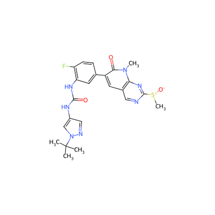 Cn1c(=O)c(-c2ccc(F)c(NC(=O)Nc3cnn(C(C)(C)C)c3)c2)cc2cnc([S+](C)[O-])nc21